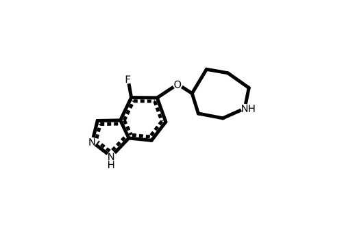 Fc1c(OC2CCCNCC2)ccc2[nH]ncc12